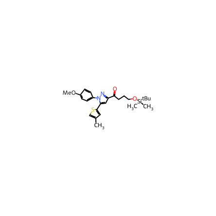 COc1ccc(-n2nc(C(=O)CCCO[Si](C)(C)C(C)(C)C)cc2-c2cc(C)cs2)cc1